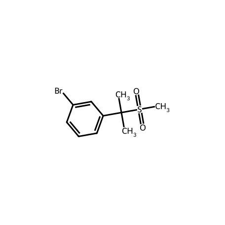 CC(C)(c1cccc(Br)c1)S(C)(=O)=O